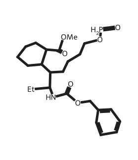 CCC(NC(=O)OCc1ccccc1)C(CCCCO[PH2]=O)C1CCCCC1C(=O)OC